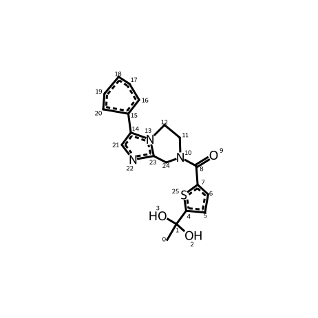 CC(O)(O)c1ccc(C(=O)N2CCn3c(-c4ccccc4)cnc3C2)s1